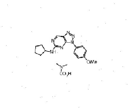 CN(C)C(=O)O.COc1ccc(-n2nnc3cnc(NC4CCCC4)nc32)cc1